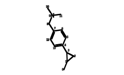 CC1CC1c1ccc(CN(C)C)cc1